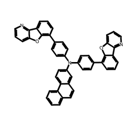 c1ccc2c(c1)ccc1cc(N(c3ccc(-c4cccc5c4oc4cccnc45)cc3)c3ccc(-c4cccc5c4oc4cccnc45)cc3)ccc12